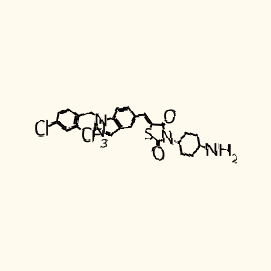 N[C@H]1CC[C@H](N2C(=O)SC(=Cc3ccc4c(cnn4Cc4ccc(Cl)cc4C(F)(F)F)c3)C2=O)CC1